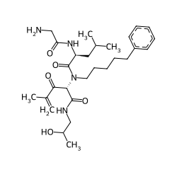 C=C(C)C(=O)[C@@H](C(=O)NCC(C)O)N(CCCCCc1ccccc1)C(=O)[C@H](CC(C)C)NC(=O)CN